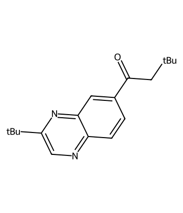 CC(C)(C)CC(=O)c1ccc2ncc(C(C)(C)C)nc2c1